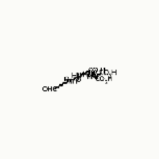 O=CCCCCCCC(=O)NCCCC(=O)NCCCCC(NC(=O)NC(CCC(=O)O)C(=O)O)C(=O)O